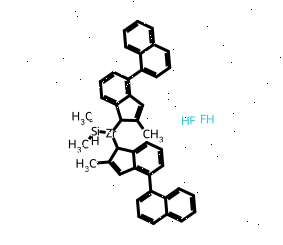 CC1=Cc2c(-c3cccc4ccccc34)cccc2[CH]1[Zr]([CH]1C(C)=Cc2c(-c3cccc4ccccc34)cccc21)[SiH](C)C.F.F